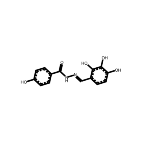 O=C(N/N=C/c1ccc(O)c(O)c1O)c1ccc(O)cc1